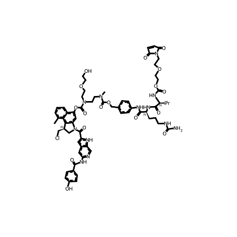 Cc1cccc2c(OC(=O)N(CCOCCO)CCN(C)C(=O)OCc3ccc(NC(=O)[C@H](CCCNC(N)=O)NC(=O)[C@@H](NC(=O)OCCOCCN4C(=O)C=CC4=O)C(C)C)cc3)cc3c(c12)[C@H](CCl)CN3C(=O)c1cc2cc(NC(=O)c3ccc(O)cc3)ncc2[nH]1